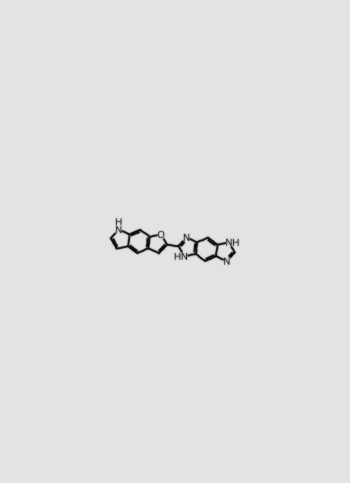 c1cc2cc3cc(-c4nc5cc6[nH]cnc6cc5[nH]4)oc3cc2[nH]1